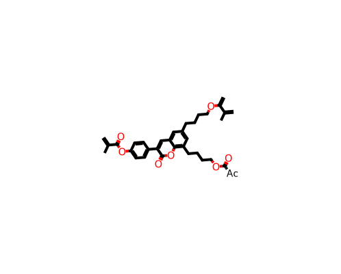 C=C(C)C(=C)OCCCCc1cc(CCCCOC(=O)C(C)=O)c2oc(=O)c(-c3ccc(OC(=O)C(=C)C)cc3)cc2c1